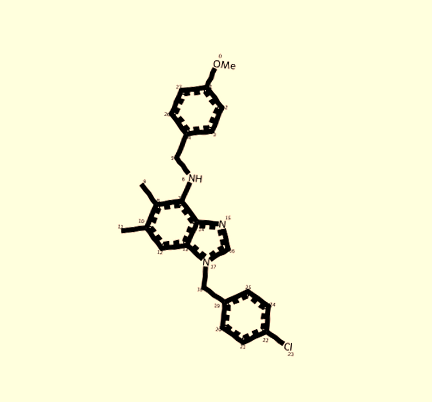 COc1ccc(CNc2c(C)c(C)cc3c2ncn3Cc2ccc(Cl)cc2)cc1